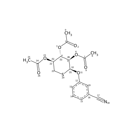 CC(=O)O[C@@H]1[C@@H](OC(C)=O)[C@@H](Oc2cccc(C#N)c2)SC[C@H]1OC(C)=O